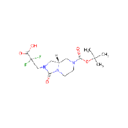 CC(C)(C)OC(=O)N1CCN2C(=O)N(CC(F)(F)C(=O)O)C[C@@H]2C1